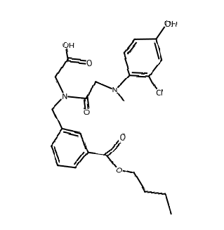 CCCCOC(=O)c1cccc(CN(CC(=O)O)C(=O)CN(C)c2ccc(O)cc2Cl)c1